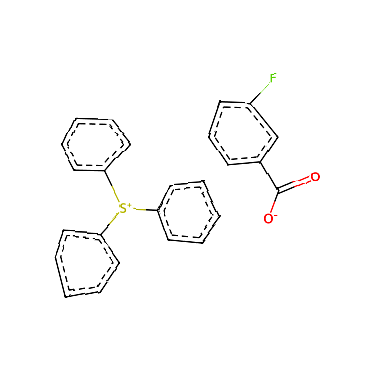 O=C([O-])c1cccc(F)c1.c1ccc([S+](c2ccccc2)c2ccccc2)cc1